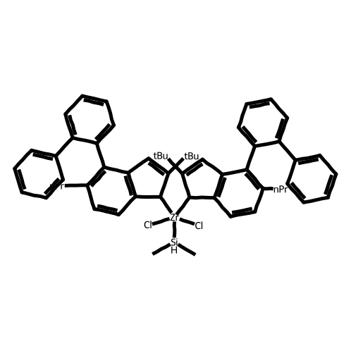 CCCc1ccc2c(c1-c1ccccc1-c1ccccc1)C=C(C(C)(C)C)[CH]2[Zr]([Cl])([Cl])([CH]1C(C(C)(C)C)=Cc2c1ccc(CCC)c2-c1ccccc1-c1ccccc1)[SiH](C)C